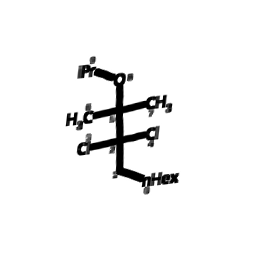 CCCCCCCC(Cl)(Cl)C(C)(C)OC(C)C